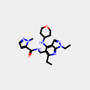 CCc1nc2c(cnn2CC)c(NC2CCOCC2)c1CNC(=O)c1ccnn1C